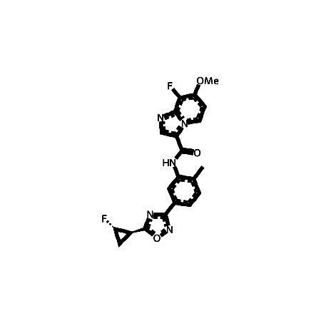 COc1ccn2c(C(=O)Nc3cc(-c4noc([C@H]5C[C@@H]5F)n4)ccc3C)cnc2c1F